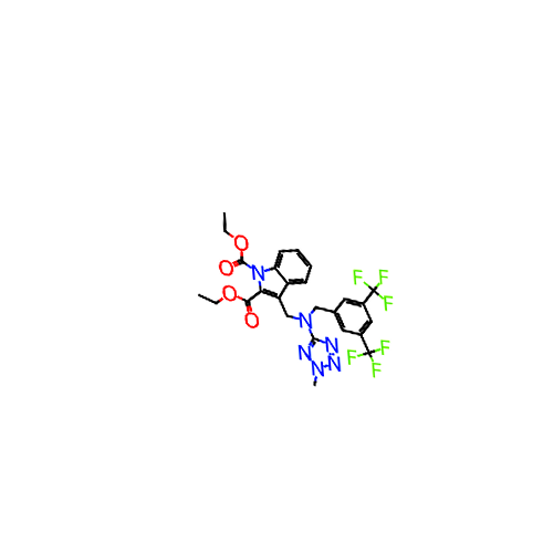 CCOC(=O)c1c(CN(Cc2cc(C(F)(F)F)cc(C(F)(F)F)c2)c2nnn(C)n2)c2ccccc2n1C(=O)OCC